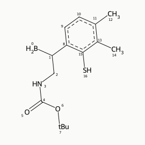 BC(CNC(=O)OC(C)(C)C)c1ccc(C)c(C)c1S